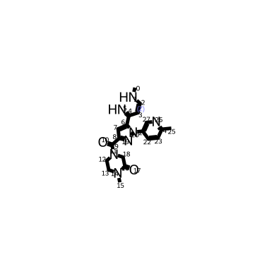 CN/C=C\C(=N)c1cc(C(=O)N2CCN(C)C(=O)C2)nn1-c1ccc(C)nc1